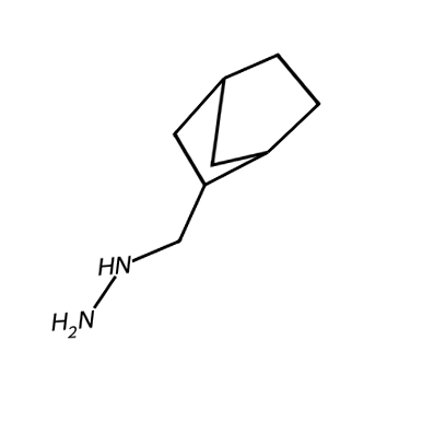 NNCC1CC2CCC1C2